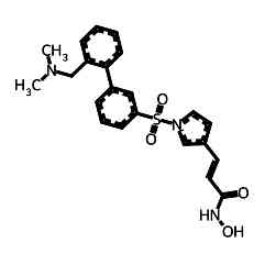 CN(C)Cc1ccccc1-c1cccc(S(=O)(=O)n2ccc(C=CC(=O)NO)c2)c1